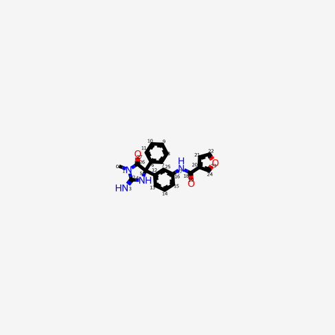 CN1C(=N)NC(c2ccccc2)(c2cccc(NC(=O)c3ccoc3)c2)C1=O